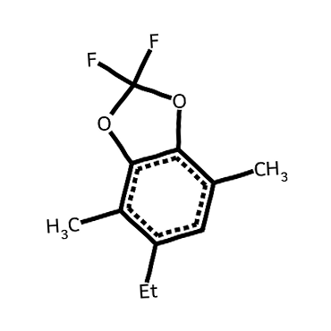 CCc1cc(C)c2c(c1C)OC(F)(F)O2